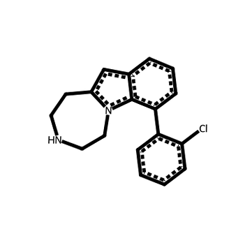 Clc1ccccc1-c1cccc2cc3n(c12)CCNCC3